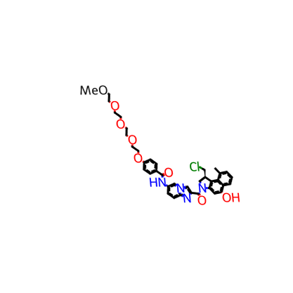 COCCOCCOCCOCCOc1ccc(C(=O)Nc2ccc3nc(C(=O)N4C[C@@H](CCl)c5c4cc(O)c4cccc(C)c54)cn3c2)cc1